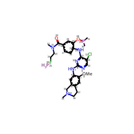 COc1cc2c(cc1Nc1ncc(Cl)c(Nc3ccc(C(=O)N(C)CCF)cc3OP(C)C)n1)CN(C)CC2.P